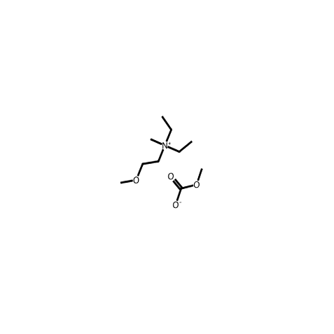 CC[N+](C)(CC)CCOC.COC(=O)[O-]